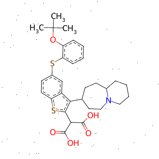 CC(C)(C)Oc1ccccc1Sc1ccc2sc(C(C(=O)O)C(=O)O)c(C3CCC4CCCCN4CC3)c2c1